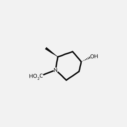 C[C@H]1C[C@H](O)CCN1C(=O)O